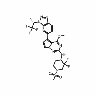 COc1nc(N[C@@H]2CCN(S(C)(=O)=O)CC2(F)F)nn2ccc(-c3ccc4nnn([C@@H](C)C(F)(F)F)c4c3)c12